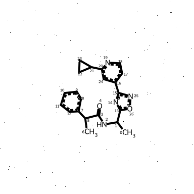 CC(NC(=O)C(C)c1ccccc1)c1nc(-c2ccnc(C3CC3)c2)no1